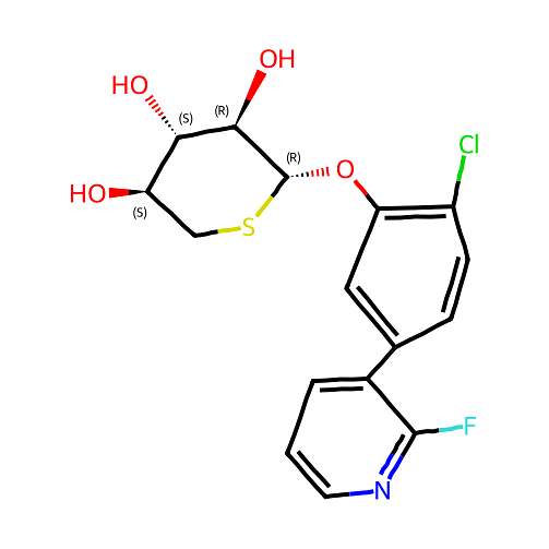 O[C@@H]1[C@@H](O)[C@H](Oc2cc(-c3cccnc3F)ccc2Cl)SC[C@H]1O